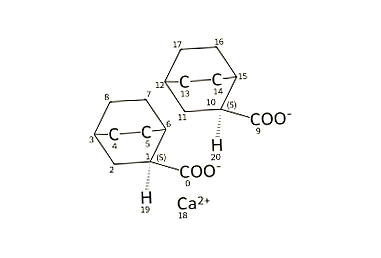 O=C([O-])[C@H]1CC2CCC1CC2.O=C([O-])[C@H]1CC2CCC1CC2.[Ca+2]